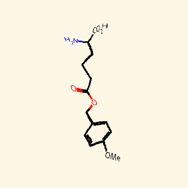 COc1ccc(COC(=O)CCCC(N)C(=O)O)cc1